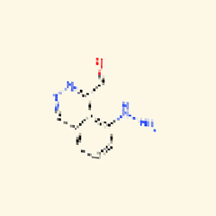 NNc1cccc2cnnc(C=O)c12